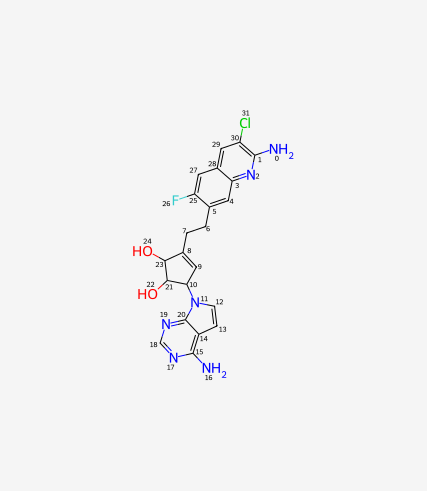 Nc1nc2cc(CCC3=CC(n4ccc5c(N)ncnc54)C(O)C3O)c(F)cc2cc1Cl